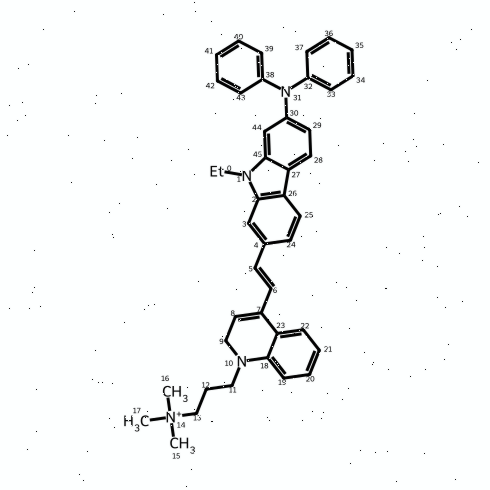 CCn1c2cc(/C=C/C3=CCN(CCC[N+](C)(C)C)c4ccccc43)ccc2c2ccc(N(c3ccccc3)c3ccccc3)cc21